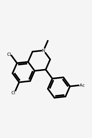 CC(=O)c1cccc(C2CN(C)Cc3c(Cl)cc(Cl)cc32)c1